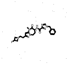 CN1C(=O)[C@@H](NC(=O)c2ncn(Cc3ccccc3)n2)CCn2nc(CCN3CC(F)C3)cc21